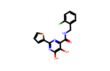 O=C(NCc1ccccc1F)c1nc(-c2cccs2)nc(O)c1O